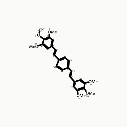 CCCOc1c(OC)cc(/C=C/c2ccc(/C=C/c3cc(OC)c(OC)c(OC)c3)cc2)cc1OC